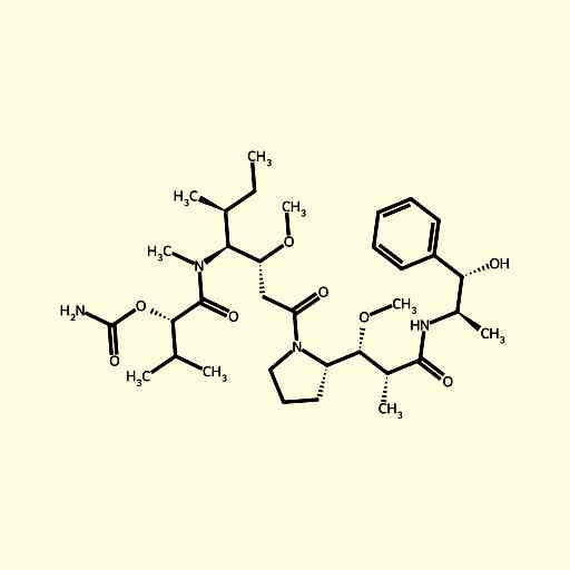 CC[C@H](C)[C@@H]([C@@H](CC(=O)N1CCC[C@H]1[C@H](OC)[C@@H](C)C(=O)N[C@H](C)[C@@H](O)c1ccccc1)OC)N(C)C(=O)[C@@H](OC(N)=O)C(C)C